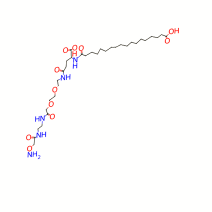 NOCC(=O)NCCNC(=O)COCCOCCNC(=O)CCC(NC(=O)CCCCCCCCCCCCCCCCC(=O)O)C(=O)O